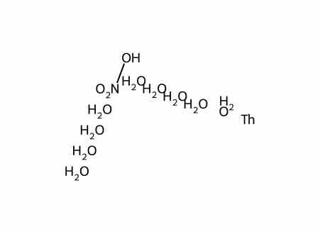 O.O.O.O.O.O.O.O.O.O=[N+]([O-])O.[Th]